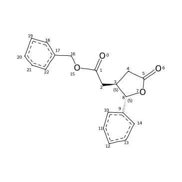 O=C(C[C@H]1CC(=O)O[C@@H]1c1ccccc1)OCc1ccccc1